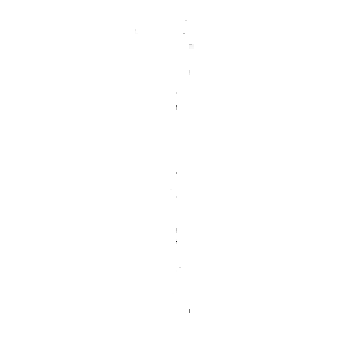 CCC(O)CCCCCCCC[C@@H](C)CC